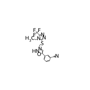 CCn1c(SCN2C=C(c3cccc(C#N)c3)ON2)nnc1C(F)(F)F